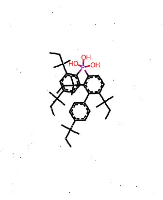 CCC(C)(C)c1ccc(-c2c(C(C)(C)CC)ccc(P(O)(O)(O)c3ccc(C(C)(C)CC)cc3C(C)(C)CC)c2C(C)(C)CC)cc1